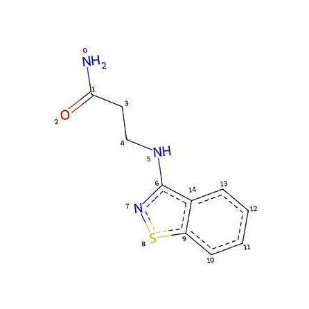 NC(=O)CCNc1nsc2ccccc12